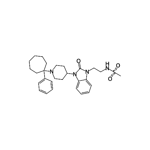 CS(=O)(=O)NCCn1c(=O)n(C2CCN(C3(c4ccccc4)CCCCCC3)CC2)c2ccccc21